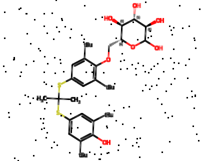 CC(C)(Sc1cc(C(C)(C)C)c(O)c(C(C)(C)C)c1)Sc1cc(C(C)(C)C)c(OC[C@H]2OC(O)[C@H](O)[C@@H](O)[C@@H]2O)c(C(C)(C)C)c1